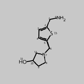 NCc1ccc(CN2CCC(O)C2)s1